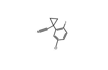 N#CC1(c2cc(Cl)ccc2I)CC1